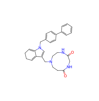 O=C1CCN(Cc2cn(Cc3ccc(-c4ccccc4)cc3)c3c2=CCCC=3)CCNC(=O)CN1